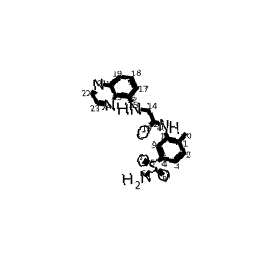 Cc1ccc(S(N)(=O)=O)cc1NC(=O)CNc1cccc2nccnc12